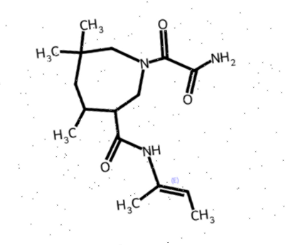 C/C=C(\C)NC(=O)C1CN(C(=O)C(N)=O)CC(C)(C)CC1C